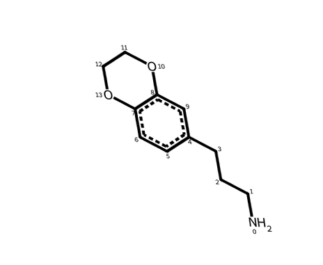 NCCCc1ccc2c(c1)OCCO2